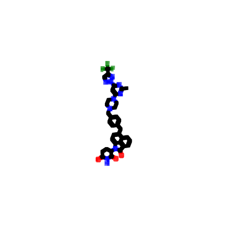 Cc1nc(N2CCN(Cc3ccc(Cc4ccc5c6c(cccc46)C(=O)N5C4CCC(=O)NC4=O)cc3)CC2)cc(-n2ncc(C(F)(F)F)n2)n1